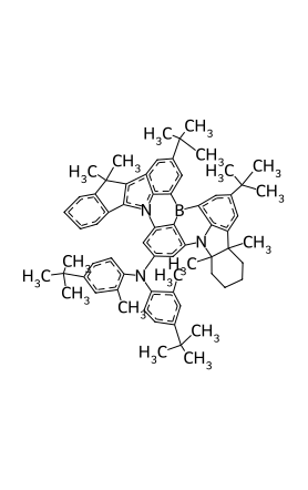 Cc1cc(C(C)(C)C)ccc1N(c1cc2c3c(c1)-n1c4c(c5cc(C(C)(C)C)cc(c51)B3c1cc(C(C)(C)C)cc3c1N2C1(C)CCCCC31C)C(C)(C)c1ccccc1-4)c1ccc(C(C)(C)C)cc1C